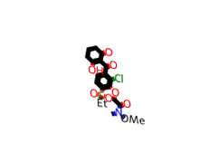 CCS(=O)(=O)c1ccc(C(=O)C2=C(O)CCCC2=O)c(Cl)c1OCC(=O)N(C)OC